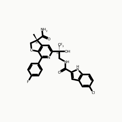 C[C@]1(C(N)=O)COc2c1cc([C@@](O)(CNC(=O)c1cc3cc(Cl)ccc3[nH]1)C(F)(F)F)nc2-c1ccc(F)cc1